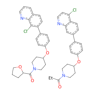 CCC(=O)N1CCC(Oc2ccc(-c3ccc4c(Cl)ccnc4c3)cc2)CC1.O=C(C1CCCO1)N1CCC(Oc2ccc(-c3ccc4cccnc4c3Cl)cc2)CC1